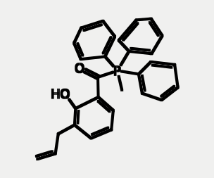 C=CCc1cccc(C(=O)P(C)(c2ccccc2)(c2ccccc2)c2ccccc2)c1O